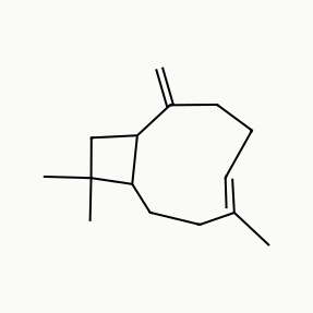 C=C1CC/C=C(\C)CCC2C1CC2(C)C